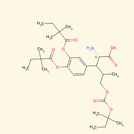 CCC(C)(C)OC(=O)OCC(C)C(c1ccc(OC(=O)C(C)(C)CC)c(OC(=O)C(C)(C)CC)c1)[C@H](N)C(=O)O